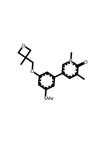 CSc1cc(OCC2(C)COC2)cc(-c2cc(C)c(=O)n(C)c2)c1